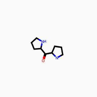 O=C(C1CCC[N]1)C1CCCN1